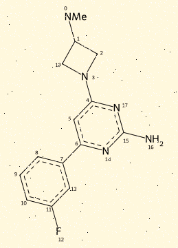 CNC1CN(c2cc(-c3cccc(F)c3)nc(N)n2)C1